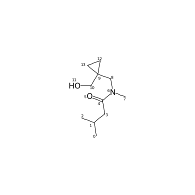 CC(C)CC(=O)N(C)CC1(CO)CC1